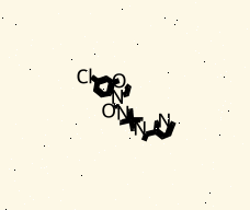 CC(c1cccnc1)N1CC2(CN(C(=O)N3CCOc4cc(Cl)ccc43)C2)C1